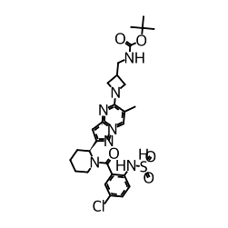 Cc1cn2nc([C@@H]3CCCCN3C(=O)c3cc(Cl)ccc3N[SH](=O)=O)cc2nc1N1CC(CNC(=O)OC(C)(C)C)C1